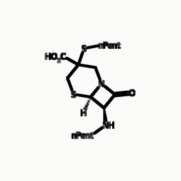 CCCCCN[C@@H]1C(=O)N2CC(SCCCCC)(C(=O)O)CS[C@H]12